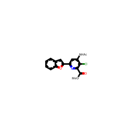 COC(=O)c1nc(-c2cc3ccccc3o2)cc(NC(C)=O)c1Cl